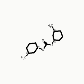 C[C@H]1CCC[C@@H](OC(=O)O[C@@H]2CCC[C@H](C)C2)C1